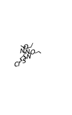 CCCOc1nc2sc(Cl)cc2c(=NC(C)=O)n1CCC